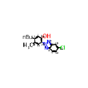 CCCCc1cc(O)c(-n2nc3ccc(Cl)cc3n2)cc1C